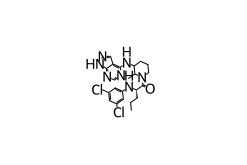 CCC[C@@H](Nc1cc(Cl)cc(Cl)c1)C(=O)N1CCCC(Nc2ncnc3[nH]ncc23)C1C